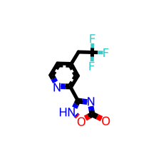 O=c1nc(-c2cc(CC(F)(F)F)ccn2)[nH]o1